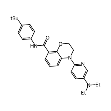 CCN(CC)c1ccc(N2CCOc3c(C(=O)Nc4ccc(C(C)(C)C)cc4)cccc32)nc1